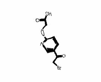 O=C(O)COc1ccc(C(=O)CBr)cn1